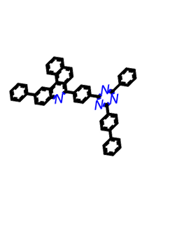 c1ccc(-c2ccc(-c3nc(-c4ccccc4)nc(-c4ccc(-c5nc6ccc(-c7ccccc7)cc6c6c5ccc5ccccc56)cc4)n3)cc2)cc1